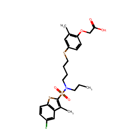 CCCN(CCCCSc1ccc(OCC(=O)O)c(C)c1)S(=O)(=O)c1sc2ccc(F)cc2c1C